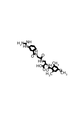 COc1cc(C)c(C(=O)NC(CNC(=O)CNC(=O)c2cccc(NC(=N)N)c2)C(=O)O)c(C)c1